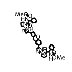 COC(=O)N[C@@H](C(=O)N1CCC[C@H]1c1ncc(-c2ccc3c(c2)Cc2cc(-c4cnc([C@@H]5CCCN5C(=O)[C@H](NC(=O)OC)c5ccccc5)[nH]4)ccc2O3)[nH]1)c1ccccc1